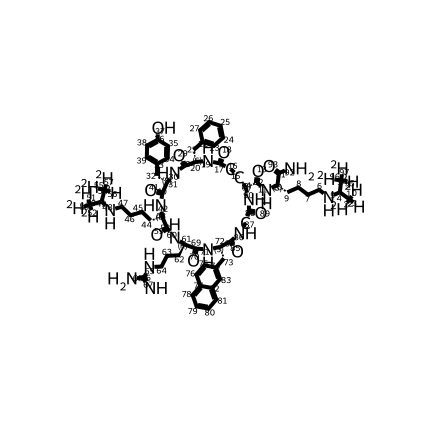 [2H]C([2H])([2H])C(NCCCC[C@H](NC(=O)[C@H]1CCC(=O)N[C@@H](Cc2ccccc2)C(=O)N[C@@H](Cc2ccc(O)cc2)C(=O)N[C@@H](CCCCNC(C([2H])([2H])[2H])C([2H])([2H])[2H])C(=O)N[C@H](CCCNC(=N)N)C(=O)N[C@@H](Cc2ccc3ccccc3c2)C(=O)NCC(=O)N1)C(N)=O)C([2H])([2H])[2H]